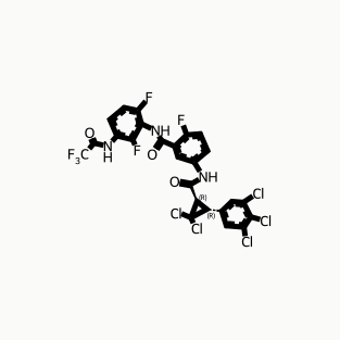 O=C(Nc1c(F)ccc(NC(=O)C(F)(F)F)c1F)c1cc(NC(=O)[C@H]2[C@H](c3cc(Cl)c(Cl)c(Cl)c3)C2(Cl)Cl)ccc1F